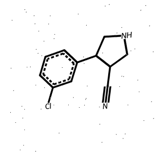 N#CC1CNCC1c1cccc(Cl)c1